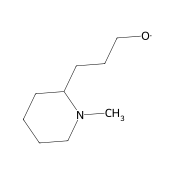 CN1CCCCC1CCC[O]